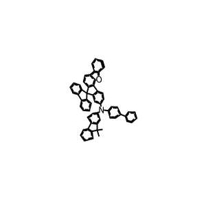 CC1(C)c2ccccc2-c2ccc(N(c3ccc(-c4ccccc4)cc3)c3ccc4c(c3)C3(c5ccccc5-c5ccccc53)c3ccc5c(oc6c#cccc65)c3-4)cc21